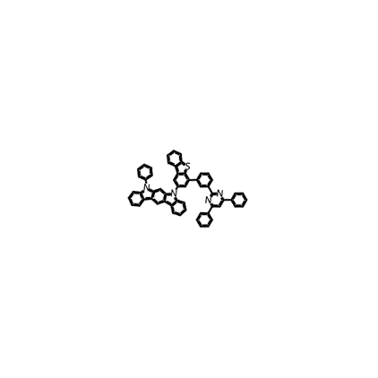 c1ccc(-c2cc(-c3ccccc3)nc(-c3cccc(-c4cc(-n5c6ccccc6c6cc7c8ccccc8n(-c8ccccc8)c7cc65)cc5c4sc4ccccc45)c3)n2)cc1